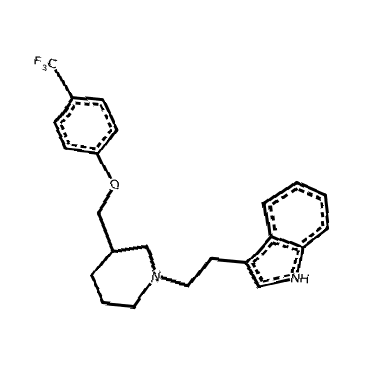 FC(F)(F)c1ccc(OCC2CCCN(CCc3c[nH]c4ccccc34)C2)cc1